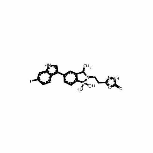 CC1c2cc(-c3c[nH]c4cc(F)ccc34)ccc2S(O)(O)N1CCc1n[nH]c(=O)o1